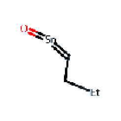 CCC[CH]=[Sn]=[O]